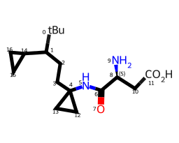 CC(C)(C)C(CCC1(NC(=O)[C@@H](N)CC(=O)O)CC1)C1CC1